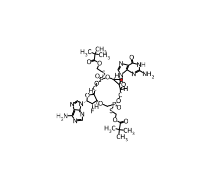 CC(C)(C)C(=O)OCSP1(=O)CO[C@H]2[C@@H](F)[C@H](n3cnc4c(N)ncnc43)O[C@@H]2COP(=O)(SCOC(=O)C(C)(C)C)O[C@@H]2[C@H](F)[C@@H](CO1)O[C@H]2n1cnc2c(=O)[nH]c(N)nc21